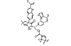 CC(C)(C)C[C@]1(c2ccc3nc(C(F)F)ccc3c2)NC(=N)N(C(COC(=O)NC2(C(F)(F)F)CC2)c2ccc(Cl)c(-n3ncnc3C(F)F)c2)C1=O